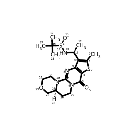 Cc1sc2c(=O)n3c(nc2c1[C@H](C)N[S@+]([O-])C(C)(C)C)N1CCOC[C@@H]1CC3